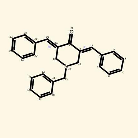 O=C1/C(=C/c2ccccc2)CN(Cc2ccccc2)C/C1=C\c1ccccc1